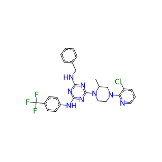 CC1CN(c2ncccc2Cl)CCN1c1nc(NCc2ccccc2)nc(Nc2ccc(C(F)(F)F)cc2)n1